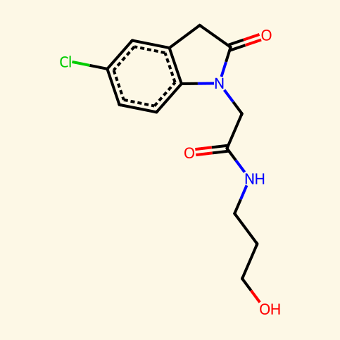 O=C(CN1C(=O)Cc2cc(Cl)ccc21)NCCCO